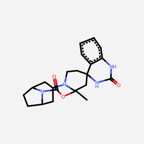 CCOC(=O)N1C2CCC1CC(N1CCC3(CC1)NC(=O)Nc1ccccc13)C2